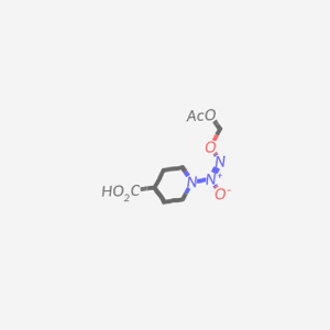 CC(=O)OCO/N=[N+](/[O-])N1CCC(C(=O)O)CC1